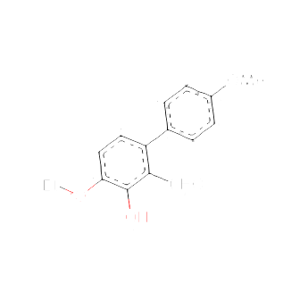 CCOc1ccc(-c2ccc(OC)cc2)c(C=O)c1O